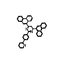 C1=CC2C(C3=NC(c4ccc(-c5ccccn5)cc4)=NC(c4cc5ccccc5c5ccccc45)C3)=Cc3ccccc3C2C=C1